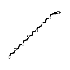 C#CCOCCOCCOCCOCCOCCOCCBr